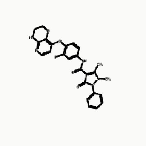 Cc1c(C(=O)Nc2ccc(Oc3ccnc4c3OCCN4)c(F)c2)c(=O)n(-c2ccccc2)n1C